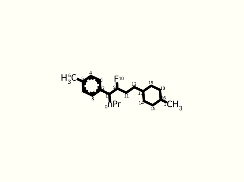 CCCC(c1ccc(C)cc1)C(F)CCC1CCC(C)CC1